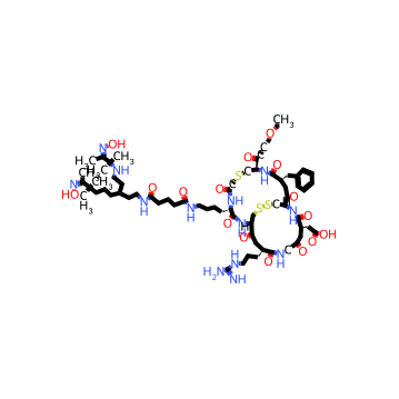 CCOCCCC(=O)[C@@H]1CSCC(=O)N[C@@H](CCCCNC(=O)CCCC(=O)NCCC(CCCC(C)(C)/C(C)=N\O)CCNC(C)(C)/C(C)=N\O)C(=O)N[C@H]2CSSC[C@H](NC(=O)[C@H](CC(=O)O)CC(=O)CNC(=O)[C@H](CCCNC(=N)N)CC2=O)C(=O)C[C@@H](Cc2ccccc2)C(=O)N1